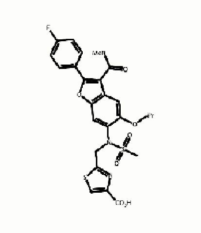 CNC(=O)c1c(-c2ccc(F)cc2)oc2cc(N(Cc3nc(C(=O)O)cs3)S(C)(=O)=O)c(OC(C)C)cc12